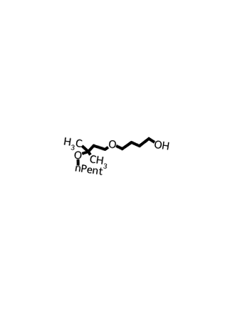 CCCCCOC(C)(C)CCOCCCCO